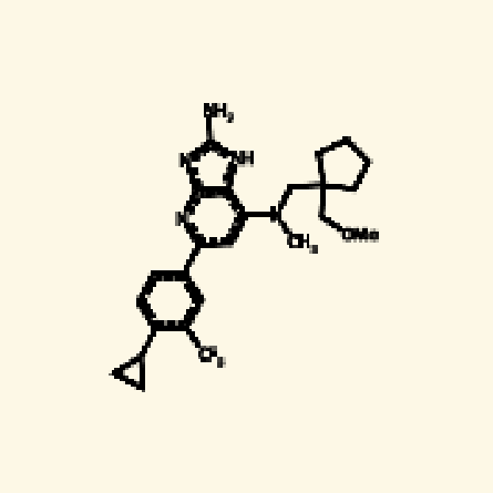 COCC1(CN(C)c2cc(-c3ccc(C4CC4)c(C(F)(F)F)c3)nc3nc(N)[nH]c23)CCCC1